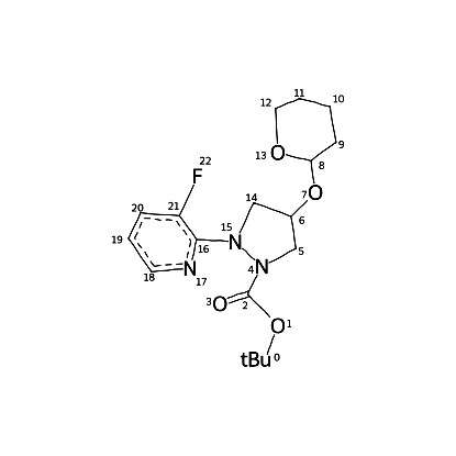 CC(C)(C)OC(=O)N1CC(OC2CCCCO2)CN1c1ncccc1F